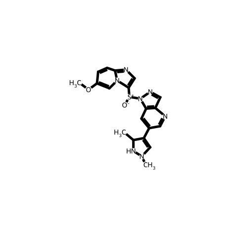 COc1ccc2ncc([S+]([O-])n3ncc4ncc(C5=CN(C)NC5C)cc43)n2c1